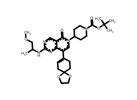 COCC(C)Nc1ncc2c(=O)n(C3CCN(C(=O)OC(C)(C)C)CC3)cc(C3=CCC4(CC3)OCCO4)c2n1